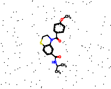 COc1ccc(C(=O)N2CCSc3ccc(C(=O)NC(C)C)cc32)cc1